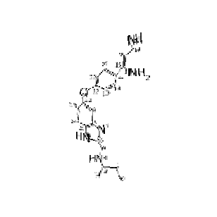 CC[C@@H](C)NCc1nc2cc(Oc3ccc(/C(N)=C/C=N)cc3)ccc2[nH]1